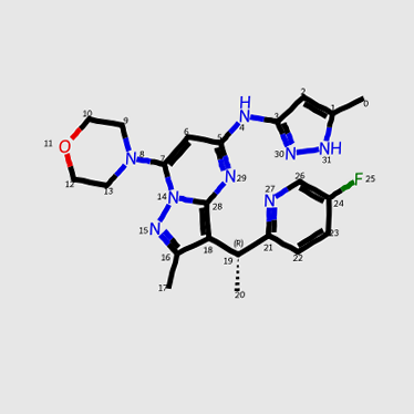 Cc1cc(Nc2cc(N3CCOCC3)n3nc(C)c([C@@H](C)c4ccc(F)cn4)c3n2)n[nH]1